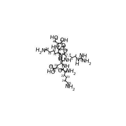 N=C(N)NCCC[C@H](NC(=O)[C@H](CCC(=O)O)NC(=O)[C@@H](N)CCCCN)C(=O)N[C@@H](CCCCN)C(=O)N[C@@H](CO)C(=O)O